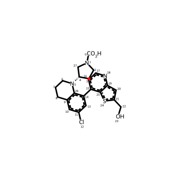 O=C(O)N1CC[C@H](N2CCCc3cc(Cl)cc(-c4ccnc5cc(CO)sc45)c32)C1